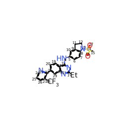 CCc1nc(Nc2ccc3c(c2)CCN3S(C)(=O)=O)c2ccc(-c3ncccc3C(F)(F)F)cc2n1